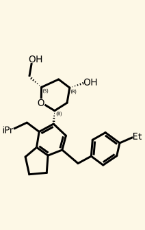 CCc1ccc(Cc2cc([C@H]3C[C@@H](O)C[C@@H](CO)O3)c(CC(C)C)c3c2CCC3)cc1